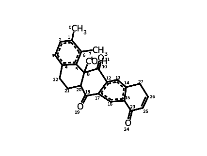 Cc1ccc2c(c1C)C1(C(=O)O)C(=O)c3cc4c(cc3C(=O)C1CC2)C(=O)C=CC4